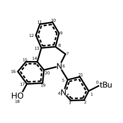 CC(C)(C)c1ccnc(N2Cc3ccccc3-c3ccc(O)cc32)c1